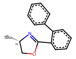 CC(C)(C)[C@H]1COC(c2ccccc2-c2ccccc2)=N1